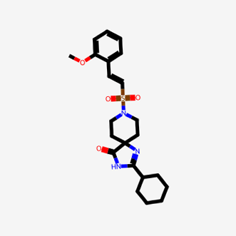 COc1ccccc1C=CS(=O)(=O)N1CCC2(CC1)N=C(C1CCCCC1)NC2=O